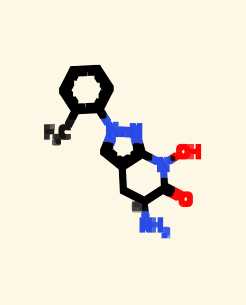 N[C@H]1Cc2cn(-c3ccccc3C(F)(F)F)nc2N(O)C1=O